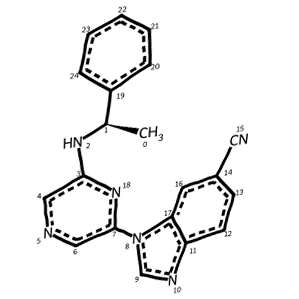 C[C@@H](Nc1cncc(-n2cnc3ccc(C#N)cc32)n1)c1ccccc1